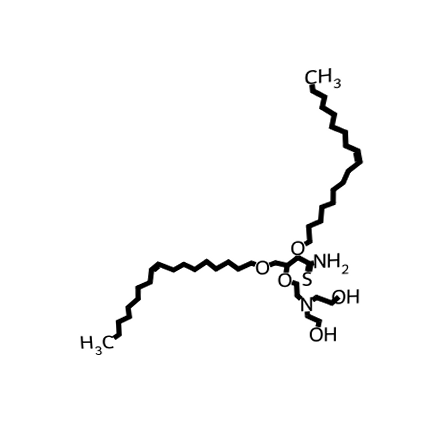 CCCCCCCC/C=C\CCCCCCCCOCC(OCCN(CCO)CCO)C(OCCCCCCCC/C=C\CCCCCCCC)C(N)=S